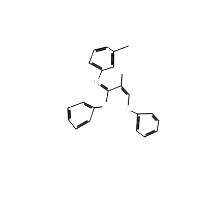 CC(=CSc1ccccc1)C(=Nc1cccc(C)c1)Sc1ccccc1